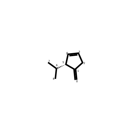 C=C1CC=[C][C@H]1C(C)C